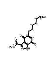 COC(=O)c1n[nH]c2c1C(=O)C(SCCCCNC(C)=O)=CC2=O